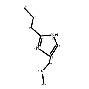 [CH2]SCc1c[nH]c(CCC)n1